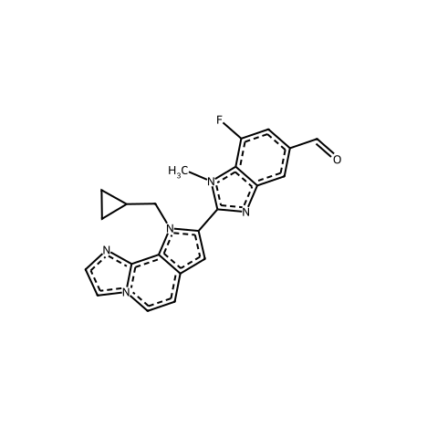 Cn1c(-c2cc3ccn4ccnc4c3n2CC2CC2)nc2cc(C=O)cc(F)c21